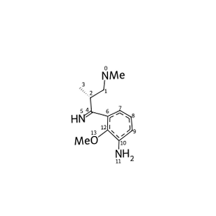 CNC[C@@H](C)C(=N)c1cccc(N)c1OC